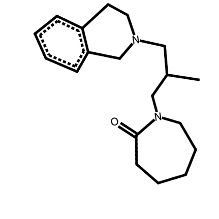 CC(CN1CCc2ccccc2C1)CN1CCCCCC1=O